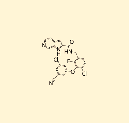 N#Cc1cc(Cl)cc(Oc2c(Cl)ccc(CNC(=O)c3cc4ccncc4[nH]3)c2F)c1